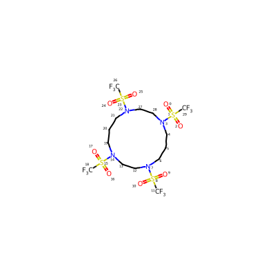 O=S(=O)(N1CCCN(S(=O)(=O)C(F)(F)F)CCN(S(=O)(=O)C(F)(F)F)CCCN(S(=O)(=O)C(F)(F)F)CC1)C(F)(F)F